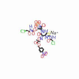 CC(C)(O/N=C(\C(=O)N[C@H]1C(=O)N(S(=O)(=O)[O-])[C@H]1COC(=O)NC(=O)CCl)c1csc(NC(=O)CCl)n1)C(=O)OCc1ccc([N+](=O)[O-])cc1.[Na+]